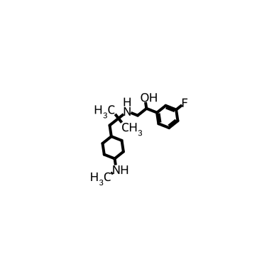 CNC1CCC(CC(C)(C)NCC(O)c2cccc(F)c2)CC1